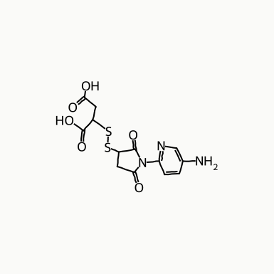 Nc1ccc(N2C(=O)CC(SSC(CC(=O)O)C(=O)O)C2=O)nc1